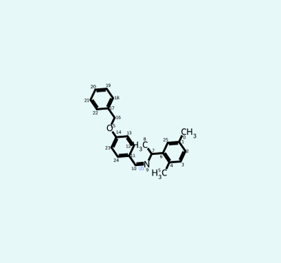 Cc1ccc(C)c(C(C)/N=C\c2ccc(OCc3ccccc3)cc2)c1